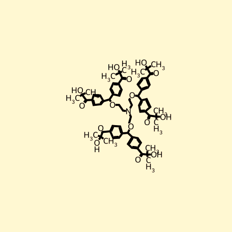 CC(C)(O)C(=O)c1ccc(C(OCCN(CCOC(c2ccc(C(=O)C(C)(C)O)cc2)c2ccc(C(=O)C(C)(C)O)cc2)CCOC(c2ccc(C(=O)C(C)(C)O)cc2)c2ccc(C(=O)C(C)(C)O)cc2)c2ccc(C(=O)C(C)(C)O)cc2)cc1